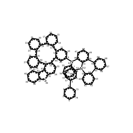 c1ccc(-c2ccc(N(c3ccc4c5ccccc5c5ccccc5c5ccccc5c5c(ccc6sc7ccccc7c65)c4c3)c3cccc4c3N(c3ccccc3)c3ccccc3-c3ccccc3-4)cc2)cc1